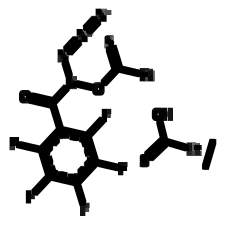 CC.CCC(=S)ON(N=[N+]=[N-])C(=O)c1c(F)c(F)c(F)c(F)c1F.CCC(O)=S